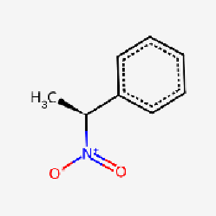 C[C@@H](c1ccccc1)[N+](=O)[O-]